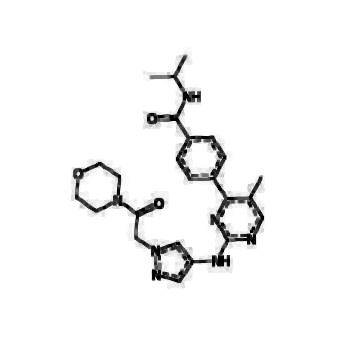 Cc1cnc(Nc2cnn(CC(=O)N3CCOCC3)c2)nc1-c1ccc(C(=O)NC(C)C)cc1